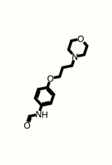 O=CNc1ccc(OCCCN2CCOCC2)cc1